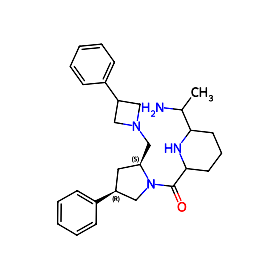 CC(N)C1CCCC(C(=O)N2C[C@@H](c3ccccc3)C[C@H]2CN2CC(c3ccccc3)C2)N1